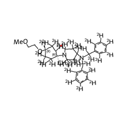 [2H]c1c([2H])c([2H])c(C([2H])([2H])N(C([2H])([2H])c2c([2H])c([2H])c([2H])c([2H])c2[2H])C2([2H])C([2H])([2H])C([2H])([2H])N([C@]3(C)C([2H])C([2H])([2H])[C@@]([2H])(OCCOC)C([2H])([2H])C3([2H])[2H])C([2H])([2H])C2([2H])[2H])c([2H])c1[2H]